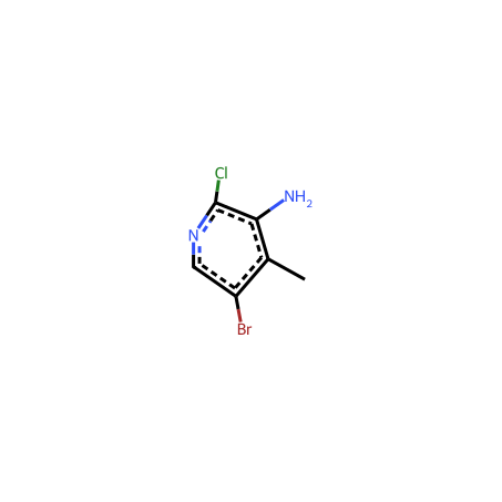 Cc1c(Br)cnc(Cl)c1N